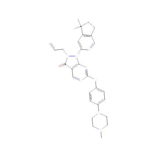 C=CCn1c(=O)c2cnc(Nc3ccc(N4CCN(C)CC4)cc3)nc2n1-c1cc2c(cn1)CCC2(C)O